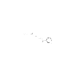 CSC(=O)CCCNC(=O)c1cccnc1